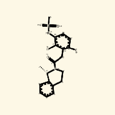 C[C@H]1c2ccccc2CCN1C(=O)Cc1c(Cl)ccc(NS(C)(=O)=O)c1Cl